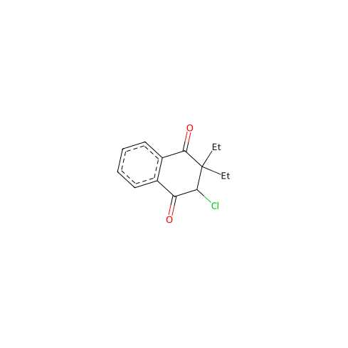 CCC1(CC)C(=O)c2ccccc2C(=O)C1Cl